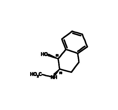 O=C(O)N[C@@H]1CCc2ccccc2[C@@H]1O